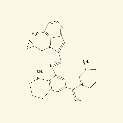 C=C(c1cc2c(c(/N=C/c3cc4cccc(C)c4n3CC3CC3)c1)N(C)CCC2)N1CCCC(N)C1